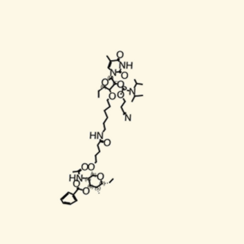 CC[C@H]1O[C@@H](n2cc(C)c(=O)[nH]c2=O)[C@@H](OP(OCCC#N)N(C(C)C)C(C)C)C1OCCCCCCNC(=O)CCCCO[C@@H]1O[C@H](CC)[C@H](C)[C@H](OC(=O)c2ccccc2)[C@H]1NC(C)=O